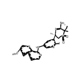 COc1cnc2c(Nc3cnc(F)c([C@]4(C)CS(=O)(=O)C(C)(C)C(N)=N4)c3)nccc2c1